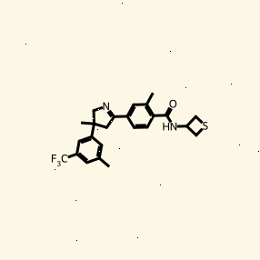 Cc1cc(C(F)(F)F)cc(C2(C)CN=C(c3ccc(C(=O)NC4CSC4)c(C)c3)C2)c1